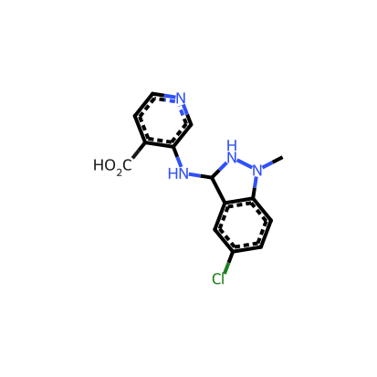 CN1NC(Nc2cnccc2C(=O)O)c2cc(Cl)ccc21